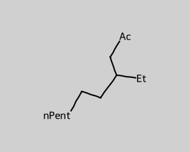 CCCCCCCC(CC)CC(C)=O